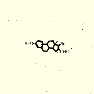 CC(=O)Oc1ccc2c(c1)CCC1C2CC[C@]2(C)C(Br)=C(C=O)CC12